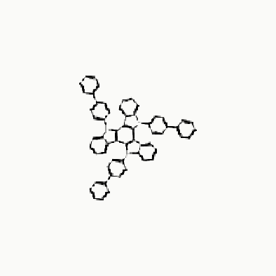 c1ccc(-c2ccc(-n3c4ccccc4c4c3c3c5ccccc5n(-c5ccc(-c6ccccc6)cc5)c3c3c5ccccc5n(-c5ccc(-c6ccccc6)cc5)c43)cc2)cc1